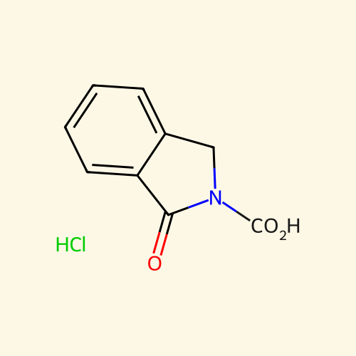 Cl.O=C(O)N1Cc2ccccc2C1=O